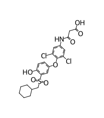 O=C(O)CC(=O)Nc1cc(Cl)c(Oc2ccc(O)c(S(=O)(=O)CC3CCCCC3)c2)c(Cl)c1